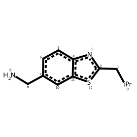 C[C](C)Cc1nc2ccc(CN)cc2s1